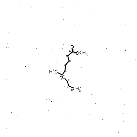 CCCCC(C)CCCCC(=O)SC